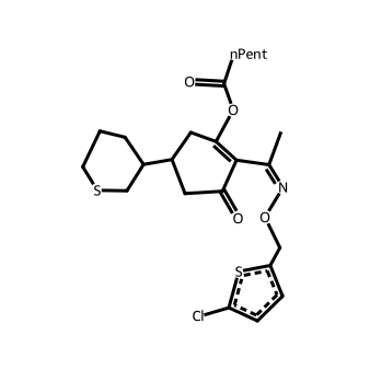 CCCCCC(=O)OC1=C(/C(C)=N\OCc2ccc(Cl)s2)C(=O)CC(C2CCCSC2)C1